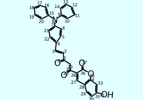 O=C(C=Cc1ccc(N(c2ccccc2)c2ccccc2)cc1)CC(=O)c1cc2ccc(O)cc2oc1=O